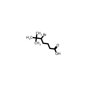 CC(C)(C)C(Br)CCCC(=O)O